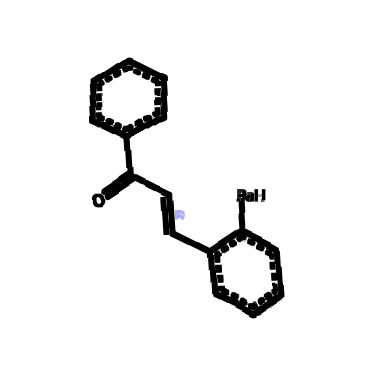 O=C(/C=C/c1cccc[c]1[BaH])c1ccccc1